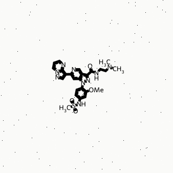 COc1cc(NS(C)(=O)=O)ccc1-n1nc(C(=O)NCCN(C)C)c2cnc(-c3cnn4cccnc34)cc21